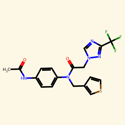 CC(=O)Nc1ccc(N(Cc2ccsc2)C(=O)Cn2cnc(C(F)(F)F)n2)cc1